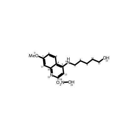 COc1ccc2c(NCCCCCO)ccnc2c1.O=[N+]([O-])O